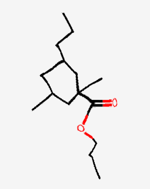 CCCOC(=O)C1(C)CC(C)CC(CCC)C1